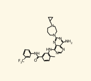 Cc1ccc(C(=O)Nc2cccc(C(F)(F)F)c2)cc1Nc1ncnc2c(N)nc(N3CCCN(C4CC4)CC3)nc12